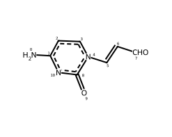 Nc1ccn(C=CC=O)c(=O)n1